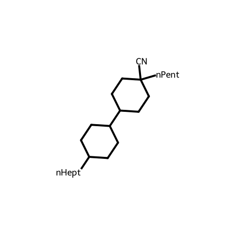 CCCCCCCC1CCC(C2CCC(C#N)(CCCCC)CC2)CC1